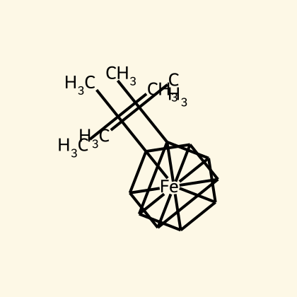 CC(C)(C)[C]12[CH]3[CH]4[CH]5[CH]1[Fe]45321678[CH]2[CH]1[CH]6[C]7(C(C)(C)C)[CH]28